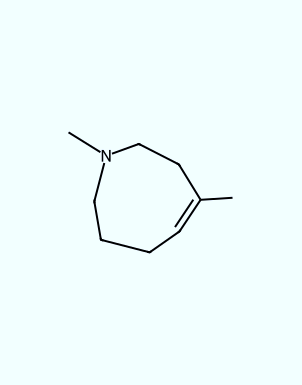 C/C1=C/CCCN(C)CC1